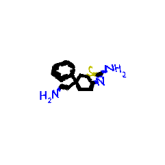 NCCC1(c2ccccc2)CCc2nc(N)sc2C1